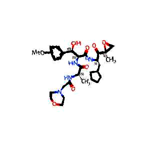 COc1ccc([C@@H](O)[C@H](NC(=O)[C@H](C)NC(=O)CN2CCOCC2)C(=O)N[C@@H](CC2CCCC2)C(=O)[C@]2(C)CO2)cc1